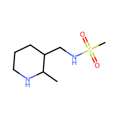 CC1NCCCC1CNS(C)(=O)=O